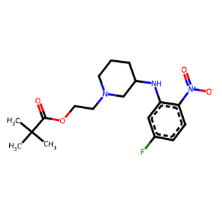 CC(C)(C)C(=O)OCCN1CCCC(Nc2cc(F)ccc2[N+](=O)[O-])C1